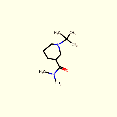 CN(C)C(=O)C1CCCN(C(C)(C)C)C1